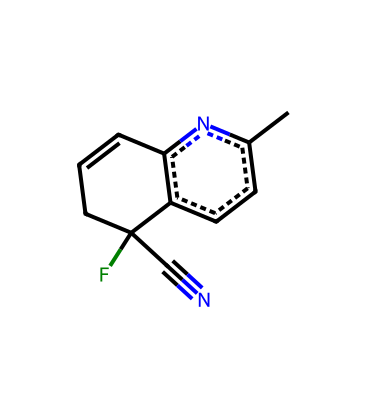 Cc1ccc2c(n1)C=CCC2(F)C#N